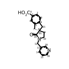 O=C(O)c1ccc2c(c1)C[C@@]1(CCN(Cc3cccnc3)C1=O)C2